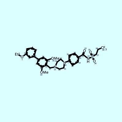 CCOc1cccc(-c2cc(OC)c(CN3CCN(c4ccc(C(=O)NS(=O)(=O)CCC(F)(F)F)cc4)CC3)c(OC)c2)c1